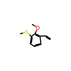 C=[C]c1cccc(SC)c1OC